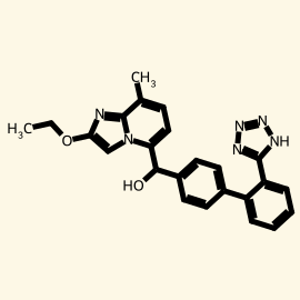 CCOc1cn2c(C(O)c3ccc(-c4ccccc4-c4nnn[nH]4)cc3)ccc(C)c2n1